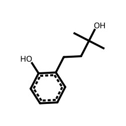 CC(C)(O)CCc1ccccc1O